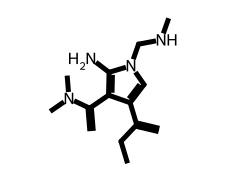 C=C(CC)c1cn(CNC)c(N)c1C(=C)N(C)C